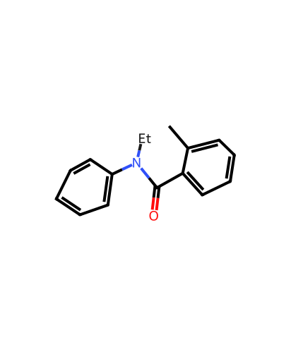 CCN(C(=O)c1ccccc1C)c1ccccc1